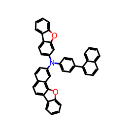 c1ccc2c(-c3ccc(N(c4ccc5c(c4)oc4ccccc45)c4ccc5ccc6c7ccccc7oc6c5c4)cc3)cccc2c1